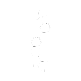 CN(C)S(=O)(=O)c1cccc(-c2ccc3c(c2)CC(C(=O)NO)CC3)c1